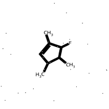 CC1=CC(C)C(C)C1F